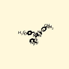 COc1ccc(Cn2nc(Sc3cccnc3C(F)(F)F)c3ncc(N4CCC(C)(N)CC4)nc32)cc1